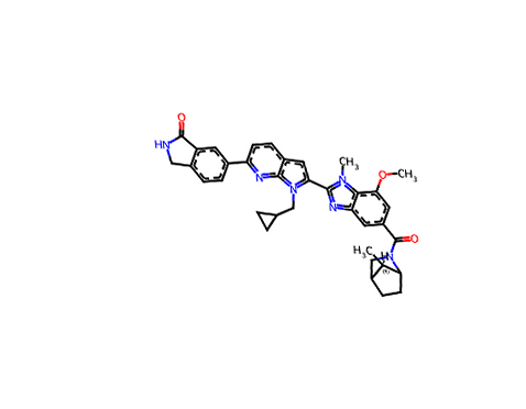 COc1cc(C(=O)N2CC3CCC2[C@@H]3C)cc2nc(-c3cc4ccc(-c5ccc6c(c5)C(=O)NC6)nc4n3CC3CC3)n(C)c12